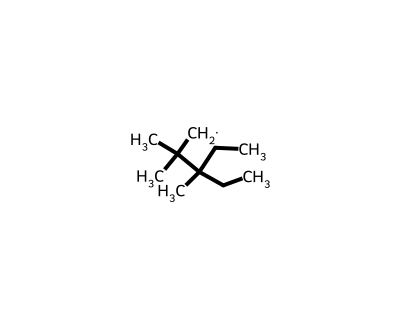 [CH2]C(C)(C)C(C)(CC)CC